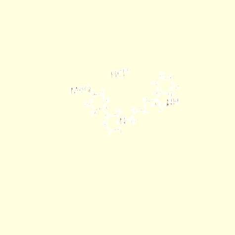 COc1ccc(C2CCCN(CCCCc3c[nH]c4ccccc34)C2)cc1.Cl